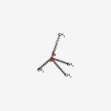 CCCCCCCCCCCCCCCCCCOC(=O)CCCC(CCCCCCCCCCCCCCCC)(CCCCCCCCCCCCCCCC)C(=O)OCCCCCCCCCCCCCCCCCC